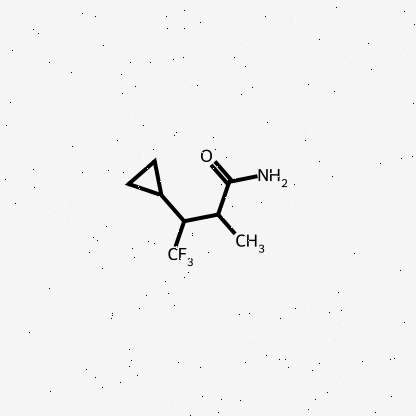 CC(C(N)=O)C(C1CC1)C(F)(F)F